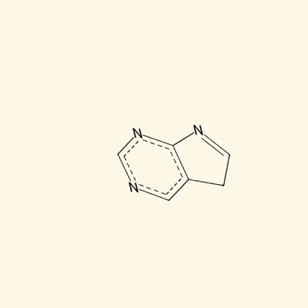 C1=Nc2ncncc2C1